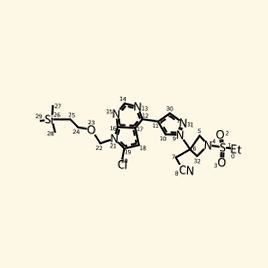 CCS(=O)(=O)N1CC(CC#N)(n2cc(-c3ncnc4c3cc(Cl)n4COCC[Si](C)(C)C)cn2)C1